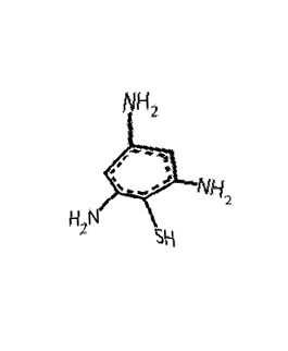 Nc1cc(N)c(S)c(N)c1